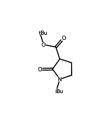 CCC(C)N1CCC(C(=O)OC(C)(C)C)C1=O